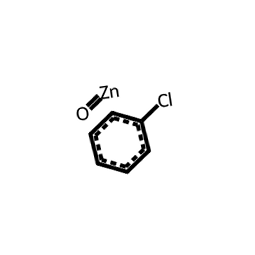 Clc1ccccc1.[O]=[Zn]